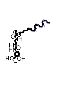 CC/C=C\C/C=C\C/C=C\C/C=C\C/C=C\CCCCOC(OC)C(=O)NCCNC(=O)Nc1ccc(O)c(C(=O)O)c1